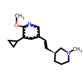 COc1ncc(/C=C/[C@@H]2CCCN(C)C2)cc1C1CC1